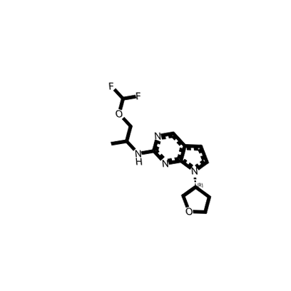 CC(COC(F)F)Nc1ncc2ccn([C@@H]3CCOC3)c2n1